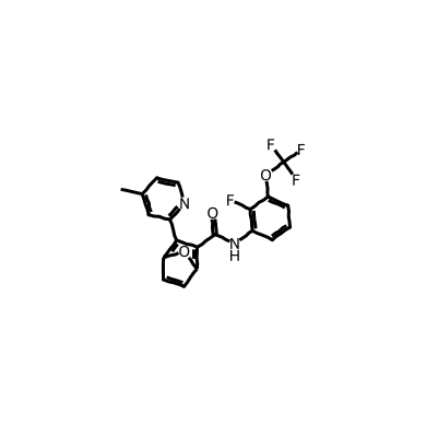 Cc1ccnc(-c2c(C(=O)Nc3cccc(OC(F)(F)F)c3F)c3ccc2o3)c1